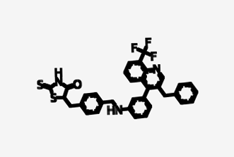 O=C1NC(=S)SC1Cc1ccc(CNc2cccc(-c3c(Cc4ccccc4)cnc4c(C(F)(F)F)cccc34)c2)cc1